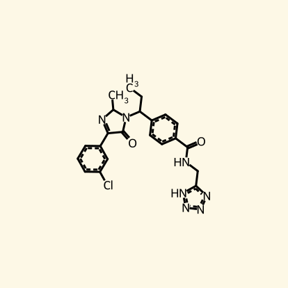 CCC(c1ccc(C(=O)NCc2nnn[nH]2)cc1)N1C(=O)C(c2cccc(Cl)c2)=NC1C